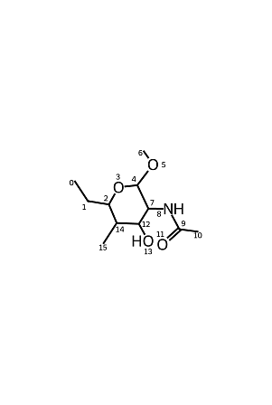 CCC1OC(OC)C(NC(C)=O)C(O)C1C